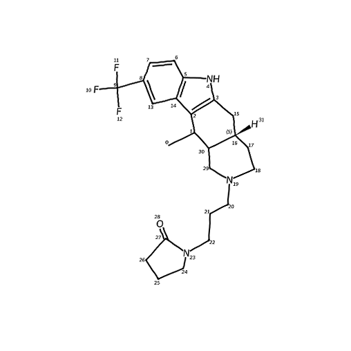 CC1c2c([nH]c3ccc(C(F)(F)F)cc23)C[C@@H]2CCN(CCCN3CCCC3=O)CC12